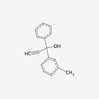 C#CC(O)(c1ccccc1)c1cccc(C)c1